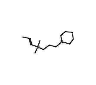 CC=C[Si](C)(C)CCCN1CCCCC1